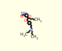 CCCCc1oc2ccc(C(N)=O)cc2c1C(=O)c1ccc(C=CCN(CCCC)CCCC)cc1